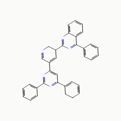 C1=CCCC(c2cc(C3=CC(c4nc(-c5ccccc5)c5ccccc5n4)CN=C3)nc(-c3ccccc3)n2)=C1